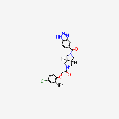 CC(C)c1cc(Cl)ccc1OCC(=O)N1C[C@H]2CN(C(=O)c3ccc4[nH]nnc4c3)C[C@@H]2C1